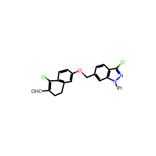 CC(C)n1nc(Cl)c2ccc(COc3ccc4c(c3)CCC(C=O)=C4Cl)cc21